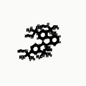 CCCCCC(C)(C)c1ccc(OP(O)c2ccccc2-c2ccc(C(C)(C)CCCCC)cc2C(C)(C)CCCCC)c(C(C)(C)CCCCC)c1